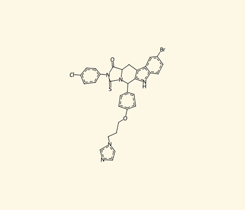 O=C1C2Cc3c([nH]c4ccc(Br)cc34)C(c3ccc(OCCCn4ccnc4)cc3)N2C(=S)N1c1ccc(Cl)cc1